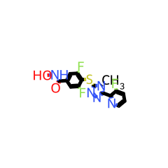 Cn1c(Sc2c(F)cc(C(=O)NO)cc2F)nnc1-c1ncccc1F